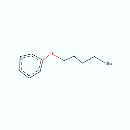 CCC(C)CCCCOc1cc[c]cc1